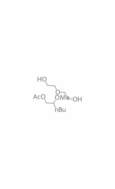 CCCCC(COC(C)=O)OC.OCCOCCO